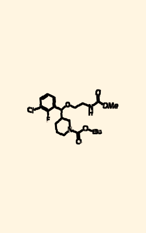 COC(=O)NCCOC(c1cccc(Cl)c1F)C1CCCN(C(=O)OC(C)(C)C)C1